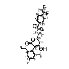 CCc1cc(C)cc(CC)c1C1=C(O)CC(C(C)CS(=O)(=O)c2ccc(C(F)(F)F)cn2)OC1=O